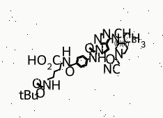 C[C@@H]1CCN(C(=O)CC#N)C[C@@H]1N(C)c1ncnc2c1ccn2C(=O)Nc1ccc(C(=O)NC(CCCCNC(=O)OC(C)(C)C)C(=O)O)cc1